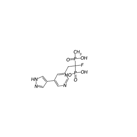 CP(=O)(O)C(F)(Cc1cncc(-c2cn[nH]c2)c1)P(=O)(O)O